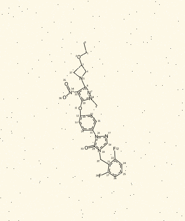 CCOC1CN(c2nn(C)c(Oc3ccc(-n4ncn(Cc5c(F)cccc5F)c4=O)cc3)c2[N+](=O)[O-])C1